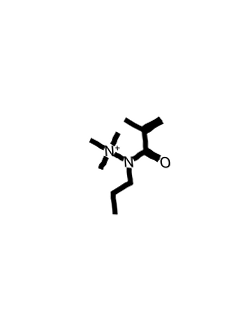 C=C(C)C(=O)N(CCC)[N+](C)(C)C